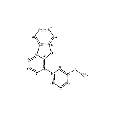 CCc1ccnc(-c2cccc3c2oc2cnccc23)c1